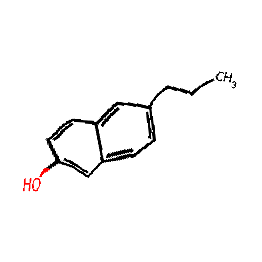 CCCc1ccc2cc(O)ccc2c1